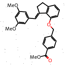 COC(=O)c1ccc(COc2cccc3c2C(=Cc2cc(OC)cc(OC)c2)CC3)cc1